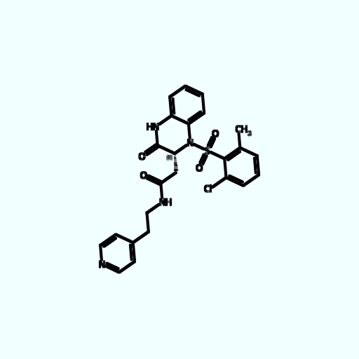 Cc1cccc(Cl)c1S(=O)(=O)N1c2ccccc2NC(=O)[C@H]1CC(=O)NCCc1ccncc1